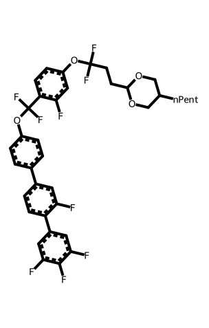 CCCCCC1COC(CCC(F)(F)Oc2ccc(C(F)(F)Oc3ccc(-c4ccc(-c5cc(F)c(F)c(F)c5)c(F)c4)cc3)c(F)c2)OC1